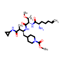 C=CCCC[C@H](N)C(=O)N[C@H](C(=O)N[C@@H](CC1CCN(C(=O)OC(C)(C)C)CC1)C(OC(C)=O)C(=O)NC1CC1)[C@@H](C)OC(C)(C)C